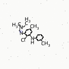 CCN(C)/C=N\c1cc(C)cc(Nc2cccc(C)c2)c1Cl